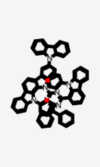 C1=CC2c3ccc4c5cc(-n6c7ccccc7c7ccccc76)ccc5n(-c5nc(-c6ccccc6)nc(-c6cccc7c8ccccc8n(-c8ccccc8)c67)n5)c4c3N(c3ccc(-c4ccccc4)cc3)C2C=C1